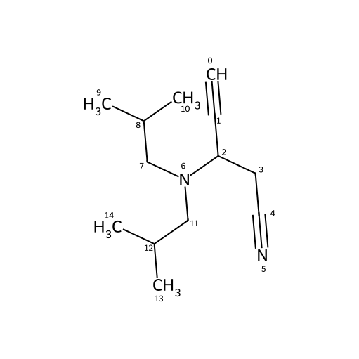 C#CC(CC#N)N(CC(C)C)CC(C)C